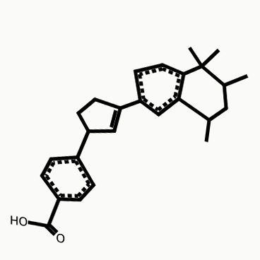 CC1CC(C)C(C)(C)c2ccc(C3=CC(c4ccc(C(=O)O)cc4)CC3)cc21